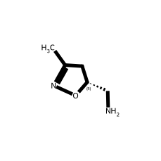 CC1=NO[C@@H](CN)C1